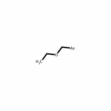 CCOC[As]